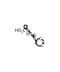 O=C(O)CC1(CNCCSCC(=O)CSCC2CCCCCCCCCCCCC2)CCCCC1